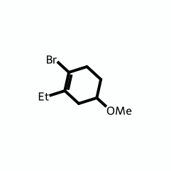 CCC1=C(Br)CCC(OC)C1